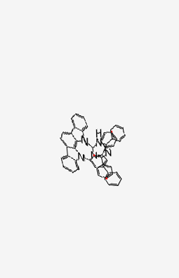 c1ccc(C2=NC(n3c4ccccc4c4ccc5c6ccccc6n(-c6cc(-c7ccccc7)cc(-c7ccccc7)c6)c5c43)NC(c3ccccc3)=N2)cc1